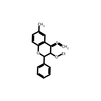 C=S=C1c2cc(C)ccc2OC(c2ccccc2)C1OCC